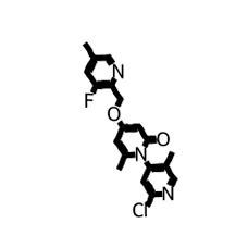 Cc1cnc(COc2cc(C)n(-c3cc(Cl)ncc3C)c(=O)c2)c(F)c1